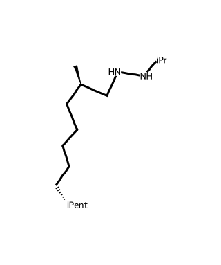 CCC[C@@H](C)CCCCC[C@@H](C)CNNC(C)C